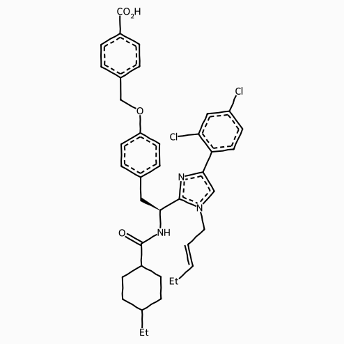 CC/C=C/Cn1cc(-c2ccc(Cl)cc2Cl)nc1[C@H](Cc1ccc(OCc2ccc(C(=O)O)cc2)cc1)NC(=O)C1CCC(CC)CC1